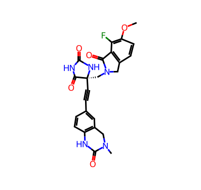 COc1ccc2c(c1F)C(=O)N(C[C@@]1(C#Cc3ccc4c(c3)CN(C)C(=O)N4)NC(=O)NC1=O)C2